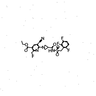 CCOC(=O)c1cc(C#N)c(N2CC(C(=O)NS(=O)(=O)Cc3c(F)ccc(F)c3F)C2)nc1CF